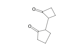 O=C1CCCC1C1CCC1=O